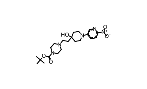 CC(C)(C)OC(=O)N1CCN(CCC2(O)CCN(c3ccc([N+](=O)[O-])nc3)CC2)CC1